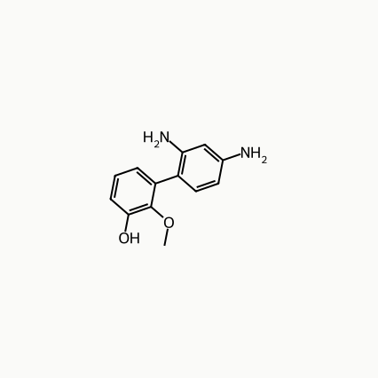 COc1c(O)cccc1-c1ccc(N)cc1N